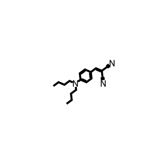 CCCCN(CCCC)c1ccc(C=C(C#N)C#N)cc1